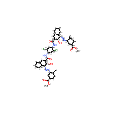 Cc1ccc(C(=O)OC(C)C)cc1N=Nc1c(O)c(C(=O)Nc2cc(Cl)c(NC(=O)c3cc4ccccc4c(N=Nc4cc(C(=O)OC(C)C)ccc4C)c3O)cc2Cl)cc2ccccc12